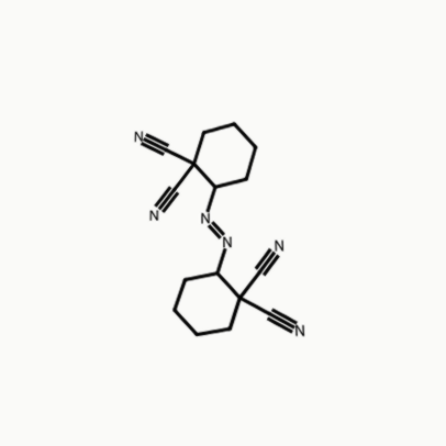 N#CC1(C#N)CCCCC1N=NC1CCCCC1(C#N)C#N